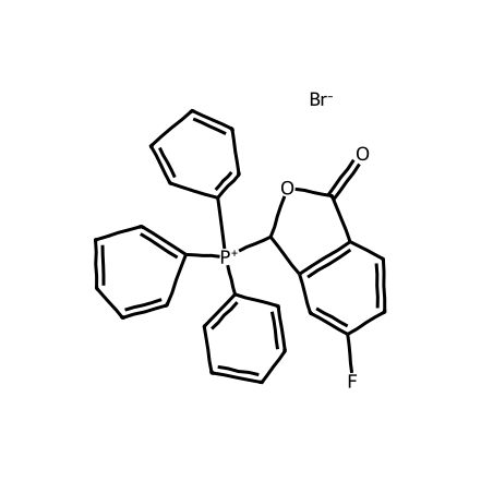 O=C1OC([P+](c2ccccc2)(c2ccccc2)c2ccccc2)c2cc(F)ccc21.[Br-]